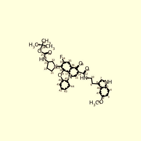 COc1ccc2[nH]cc(CCNC(=O)c3cn4c5c(c(N6CCC(NC(=O)OC(C)(C)C)C6)c(F)cc5c3=O)Oc3ccccc3-4)c2c1